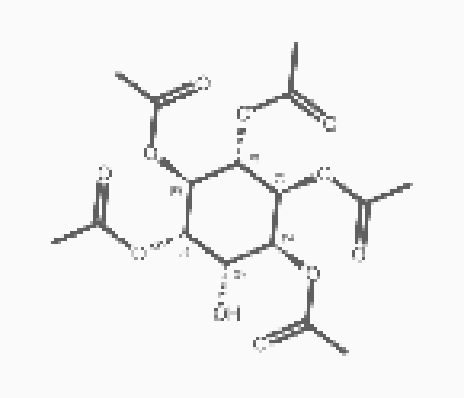 CC(=O)O[C@@H]1[C@@H](OC(C)=O)[C@@H](OC(C)=O)[C@H](O)[C@H](OC(C)=O)[C@H]1OC(C)=O